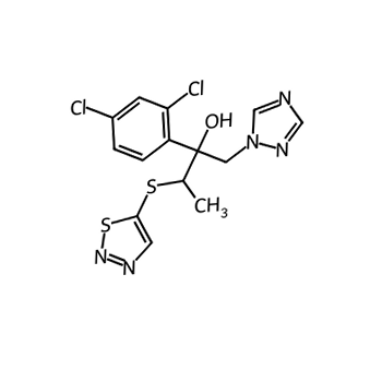 CC(Sc1cnns1)C(O)(Cn1cncn1)c1ccc(Cl)cc1Cl